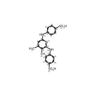 Cc1cc(Nc2ccc(S(=O)(=O)O)cc2)nc(Nc2ccc(S(=O)(=O)O)cc2)c1C